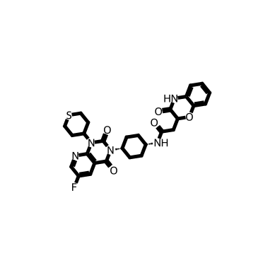 O=C(CC1Oc2ccccc2NC1=O)N[C@H]1CC[C@@H](n2c(=O)c3cc(F)cnc3n(C3CCSCC3)c2=O)CC1